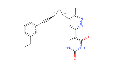 CCc1cccc(C#C[C@H]2C[C@@H]2c2cc(-c3c[nH]c(=O)[nH]c3=O)nnc2C)c1